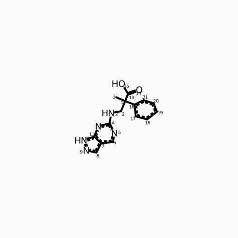 CC(CNc1ncc2cn[nH]c2n1)(C(=O)O)c1ccccc1